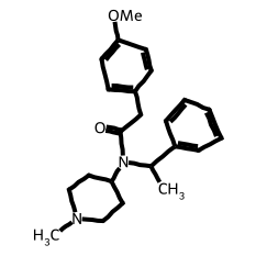 COc1ccc(CC(=O)N(C2CCN(C)CC2)C(C)c2ccccc2)cc1